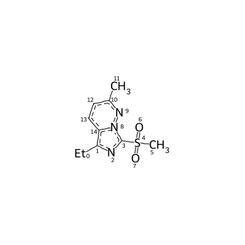 CCc1nc(S(C)(=O)=O)n2nc(C)ccc12